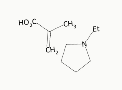 C=C(C)C(=O)O.CCN1CCCC1